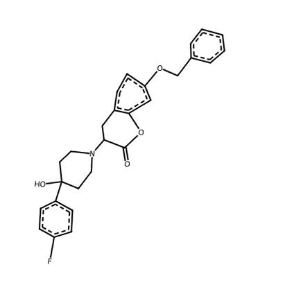 O=C1Oc2cc(OCc3ccccc3)ccc2CC1N1CCC(O)(c2ccc(F)cc2)CC1